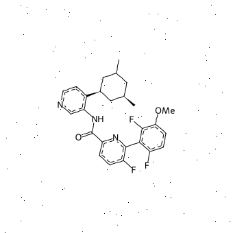 COc1ccc(F)c(-c2nc(C(=O)Nc3cnccc3[C@H]3CC(C)C[C@@H](C)C3)ccc2F)c1F